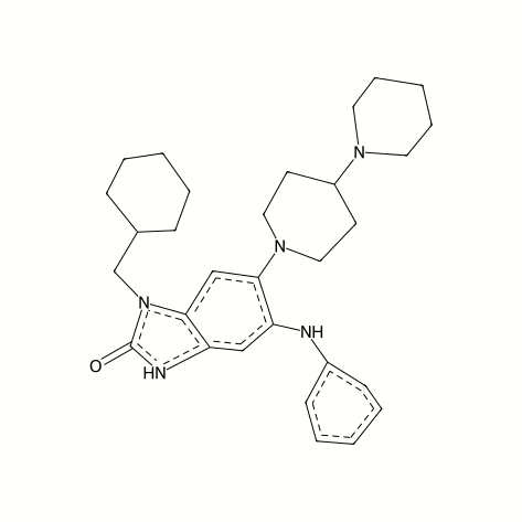 O=c1[nH]c2cc(Nc3ccccc3)c(N3CCC(N4CCCCC4)CC3)cc2n1CC1CCCCC1